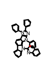 c1ccc(-c2nc3c(c4ccc5c6ccccc6n(-c6ccc7ccccc7n6)c5c4n3-c3ccccc3)n2-c2ccccc2)cc1